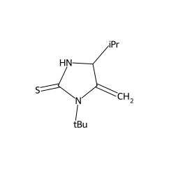 C=C1C(C(C)C)NC(=S)N1C(C)(C)C